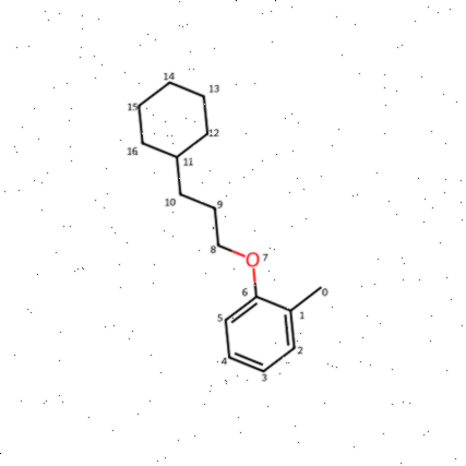 Cc1ccccc1OCCCC1CCCCC1